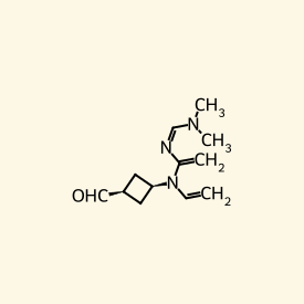 C=CN(C(=C)/N=C\N(C)C)[C@H]1C[C@@H](C=O)C1